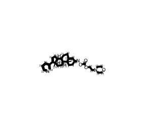 C[C@]12CCC(=NOC(=O)OCCN3CCOCC3)C=C1CC[C@H]1[C@@H]2CC[C@]2(C)C(c3cccnc3)=CC[C@@H]12